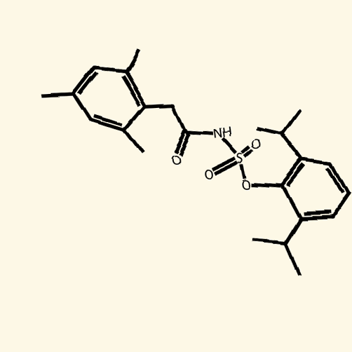 Cc1cc(C)c(CC(=O)NS(=O)(=O)Oc2c(C(C)C)cccc2C(C)C)c(C)c1